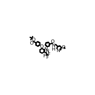 COc1cncc(CNC(=O)c2cccc(-n3nc(C(F)(F)F)c4c3C(Oc3ccc(C(=O)OC(C)(C)C)cc3)CCC4)c2)c1